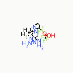 CC1c2nc(N)nc(N)c2CCN(c2ncccc2C(F)(F)F)C1C.O=C(O)C(F)(F)F